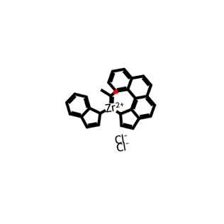 C[C](C)=[Zr+2]([CH]1C=Cc2ccccc21)[CH]1C=Cc2ccc3ccc4ccccc4c3c21.[Cl-].[Cl-]